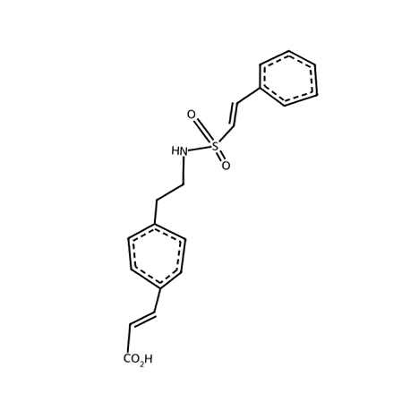 O=C(O)/C=C/c1ccc(CCNS(=O)(=O)/C=C/c2ccccc2)cc1